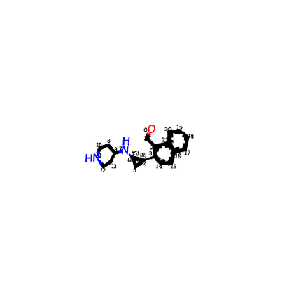 O=Cc1c([C@H]2C[C@@H]2NC2CCNCC2)ccc2ccccc12